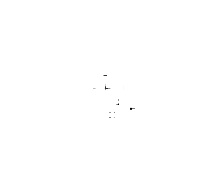 CCP(=O)(O)SC(C)(C)C